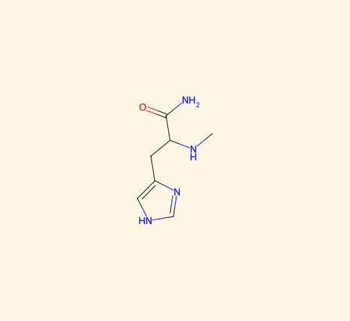 CNC(Cc1c[nH]cn1)C(N)=O